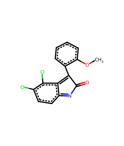 COc1ccccc1C1=c2c(Cl)c(Cl)ccc2=NC1=O